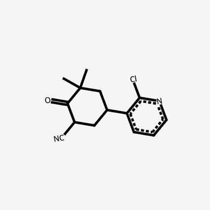 CC1(C)CC(c2cccnc2Cl)CC(C#N)C1=O